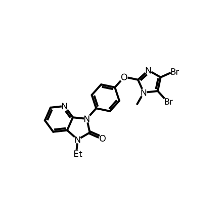 CCn1c(=O)n(-c2ccc(Oc3nc(Br)c(Br)n3C)cc2)c2ncccc21